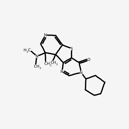 CN(C)C1(C)C=NC=C2Sc3c(ncn(C4CCCCC4)c3=O)C21C